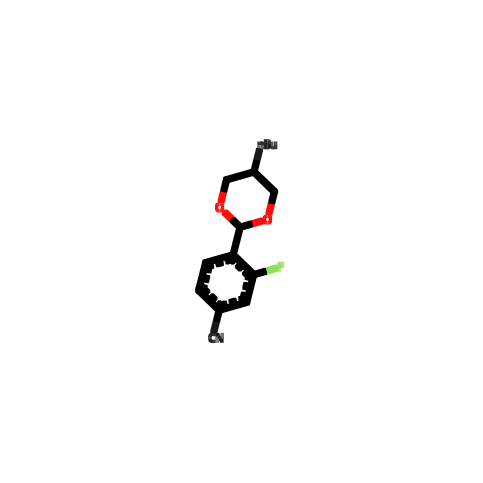 CCCCC1COC(c2ccc(C#N)cc2F)OC1